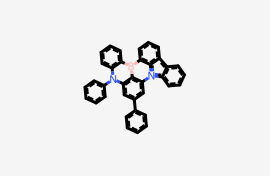 c1ccc(-c2cc3c4c(c2)-n2c5ccccc5c5cccc(c52)B4c2ccccc2N3c2ccccc2)cc1